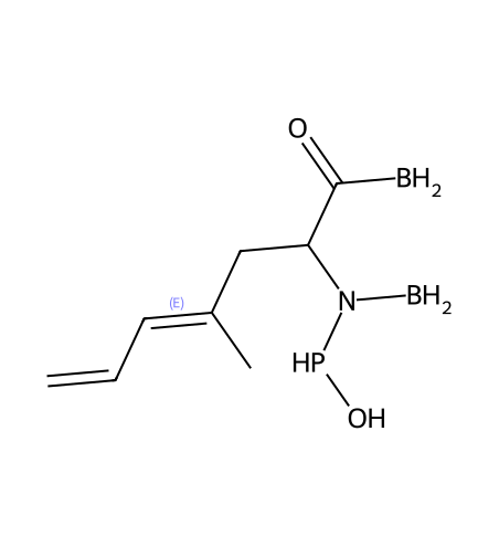 BC(=O)C(C/C(C)=C/C=C)N(B)PO